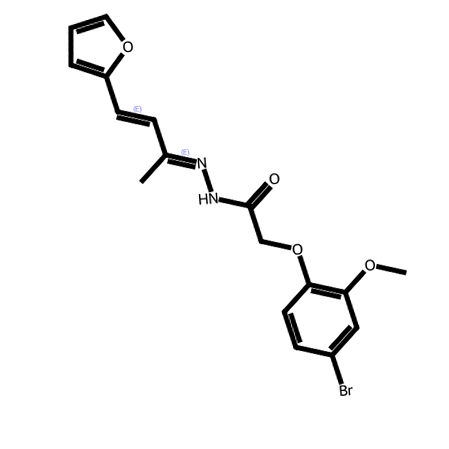 COc1cc(Br)ccc1OCC(=O)N/N=C(C)/C=C/c1ccco1